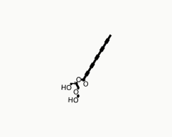 CC#CC#CC#CC#CC#CC(=O)O[C@H](CO)COCO